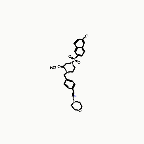 Cl.O=C1CN(S(=O)(=O)c2ccc3cc(Cl)ccc3c2)CCN1Cc1ccc(/C=N/N2CCOCC2)cc1